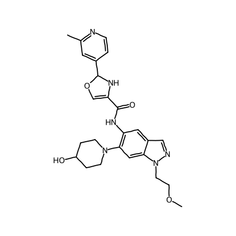 COCCn1ncc2cc(NC(=O)C3=COC(c4ccnc(C)c4)N3)c(N3CCC(O)CC3)cc21